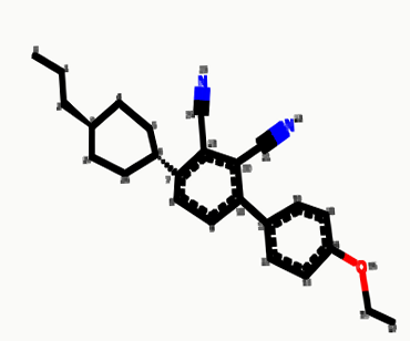 CCC[C@H]1CC[C@H](c2ccc(-c3ccc(OCC)cc3)c(C#N)c2C#N)CC1